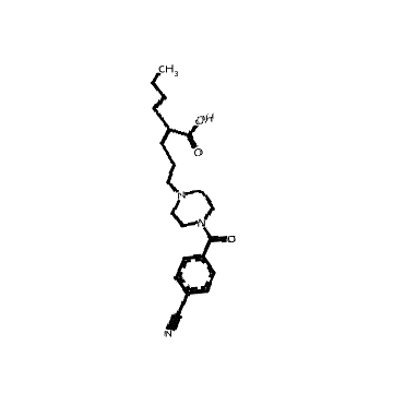 CCCCC(CCCN1CCN(C(=O)c2ccc(C#N)cc2)CC1)C(=O)O